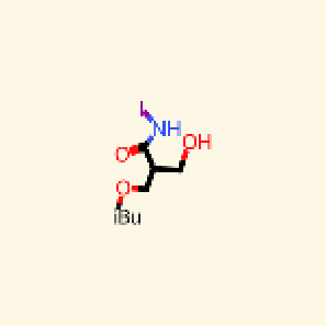 CCC(C)OCC(CO)C(=O)NI